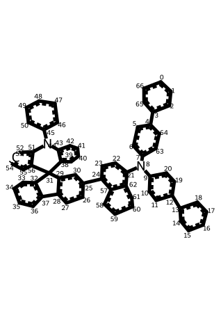 c1ccc(-c2ccc(N(c3ccc(-c4ccccc4)cc3)c3ccc(-c4ccc5c(c4)C4(c6ccccc6-5)c5ccccc5N(c5ccccc5)c5ccccc54)c4ccccc34)cc2)cc1